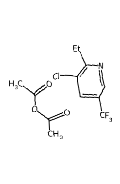 CC(=O)OC(C)=O.CCc1ncc(C(F)(F)F)cc1Cl